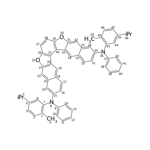 Cc1ccc(C(C)C)cc1N(c1ccccc1)c1ccc2cc3c(cc2c1)oc1ccc2oc4cc5cc(N(c6ccccc6)c6cc(C(C)C)ccc6C)ccc5cc4c2c13